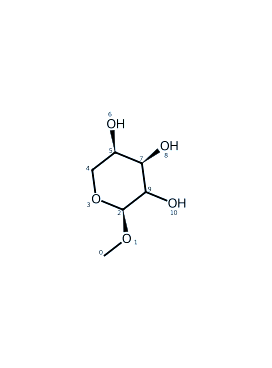 CO[C@H]1OC[C@@H](O)[C@@H](O)C1O